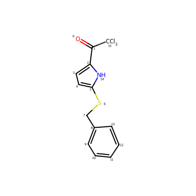 O=C(c1ccc(SCc2ccccc2)[nH]1)C(Cl)(Cl)Cl